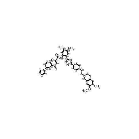 COc1cc2c(cc1C)CCN(CCc1ccc(-n3nnc(-c4cc(C)c(C)cc4NC(=O)c4cc(=O)c5cc(-n6ccnc6)ccc5o4)n3)cc1)C2